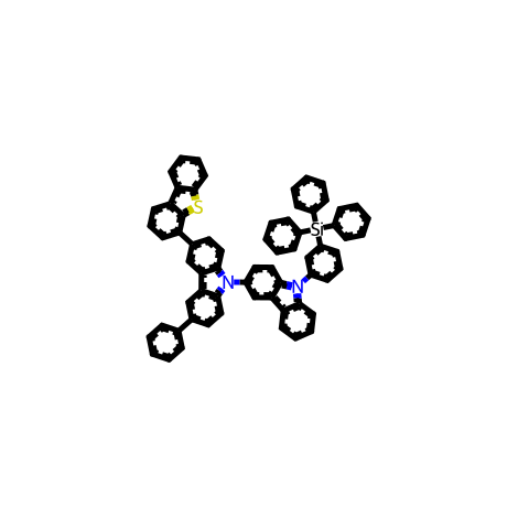 c1ccc(-c2ccc3c(c2)c2cc(-c4cccc5c4sc4ccccc45)ccc2n3-c2ccc3c(c2)c2ccccc2n3-c2cccc([Si](c3ccccc3)(c3ccccc3)c3ccccc3)c2)cc1